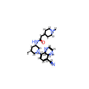 C[C@H]1C[C@@H](NC(=O)CC2CCN(C)CC2)CN(c2ccc(C#N)c3nccnc23)C1